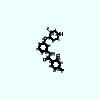 C[C@@H]1CNCC[C@H]1Oc1cccc(NC(=O)c2ccc(F)cc2Cl)c1